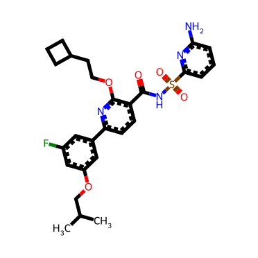 CC(C)COc1cc(F)cc(-c2ccc(C(=O)NS(=O)(=O)c3cccc(N)n3)c(OCCC3CCC3)n2)c1